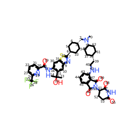 CN(C[C@H]1CC[C@H](c2nc3cc(C(C)(C)O)c(NC(=O)c4cccc(C(F)(F)F)n4)cc3s2)CC1)[C@H]1CC[C@@H](CCNc2cccc3c2C(=O)N(C2CCC(=O)NC2=O)C3=O)CC1